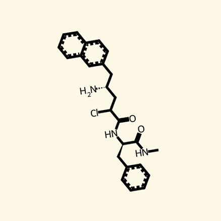 CNC(=O)[C@@H](Cc1ccccc1)NC(=O)C(Cl)C[C@H](N)Cc1ccc2ccccc2c1